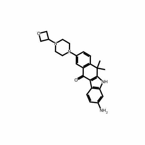 CC1(C)c2ccc(N3CCN(C4COC4)CC3)cc2C(=O)c2c1[nH]c1cc(N)ccc21